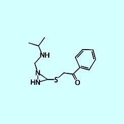 CC(C)NCN1NC1SCC(=O)c1ccccc1